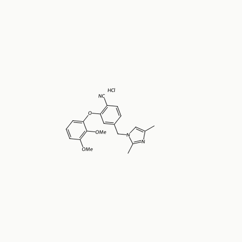 COc1cccc(Oc2cc(Cn3cc(C)nc3C)ccc2C#N)c1OC.Cl